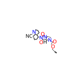 C#CCOCC(=O)N1CC2CC1[C@H]1C(=O)N(c3ccc(C#N)c4ncccc34)C(=O)N21